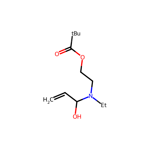 C=CC(O)N(CC)CCOC(=O)C(C)(C)C